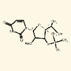 COC1C(O[Si](C)(C)C(C)(C)C)[C@@H]([C@@H](C)O)O[C@H]1n1ccc(=O)[nH]c1=O